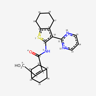 O=C(O)C1=C(C(=O)Nc2sc3c(c2-c2ncccn2)CCCC3)C2CCC1CC2